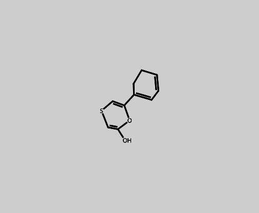 OC1=CSC=C(C2=CC=CCC2)O1